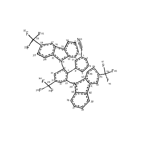 N#Cc1cccc(-c2c(-n3c4ccccc4c4cc(C(F)(F)F)ccc43)cc(C(F)(F)F)cc2-n2c3ccccc3c3cc(C(F)(F)F)ccc32)c1